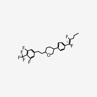 CCC/C(F)=C(\F)c1ccc(C2CCC(CCc3cc(F)c(C(F)(F)F)c(F)c3)OC2)cc1